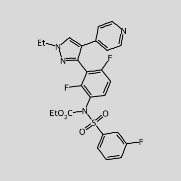 CCOC(=O)N(c1ccc(F)c(-c2nn(CC)cc2-c2ccncc2)c1F)S(=O)(=O)c1cccc(F)c1